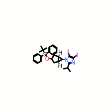 CC(C)c1nc(I)c(I)n1[C@H]1[C@@H]2CC(O[Si](c3ccccc3)(c3ccccc3)C(C)(C)C)C[C@@H]21